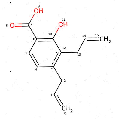 C=CCc1ccc(C(=O)O)c(O)c1CC=C